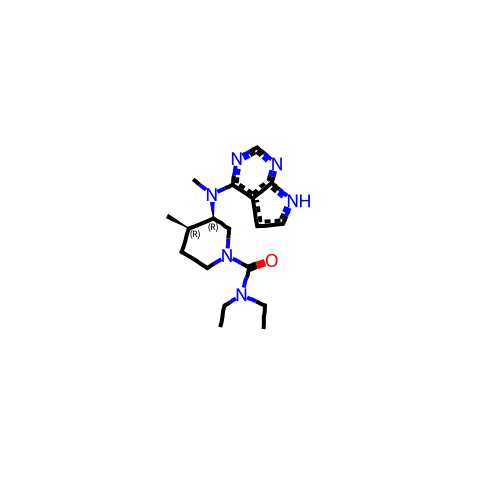 CCN(CC)C(=O)N1CC[C@@H](C)[C@@H](N(C)c2ncnc3[nH]ccc23)C1